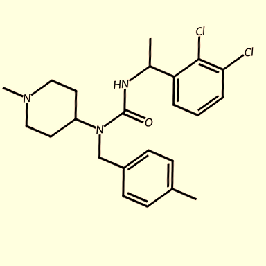 Cc1ccc(CN(C(=O)NC(C)c2cccc(Cl)c2Cl)C2CCN(C)CC2)cc1